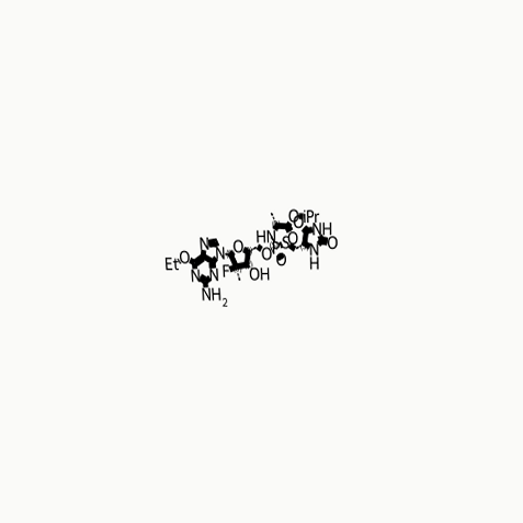 CCOc1nc(N)nc2c1ncn2[C@@H]1O[C@H](CO[P@@](=O)(N[C@H](C)C(=O)OC(C)C)SC[C@H]2NC(=O)NC2=O)[C@@H](O)[C@@]1(C)F